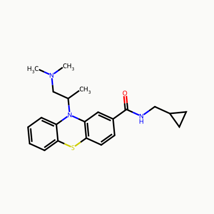 CC(CN(C)C)N1c2ccccc2Sc2ccc(C(=O)NCC3CC3)cc21